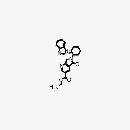 CCOC(=O)c1cnc2c(c1)C(=O)N([C@@H]1CCCC[C@H]1n1cnc3ccccc31)C2